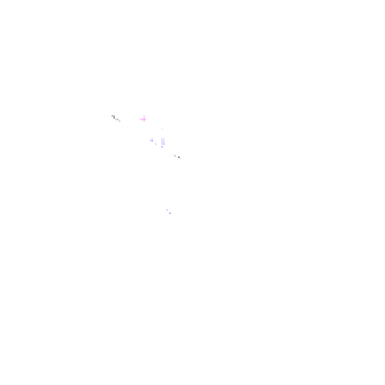 CC1(C)C2=[N+]([O-])c3c(ccc4c3C=CC3(CCCC3)O4)C2=C[C@@]23NC(=O)[C@]4(CCCN4C2=O)CC13